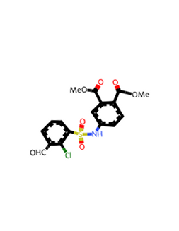 COC(=O)c1ccc(NS(=O)(=O)c2cccc(C=O)c2Cl)cc1C(=O)OC